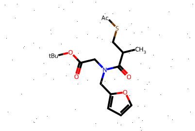 CC(=O)SCC(C)C(=O)N(CC(=O)OC(C)(C)C)Cc1ccco1